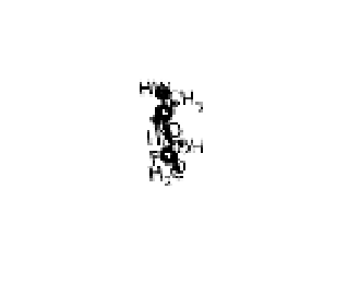 COc1cc(F)cc([C@@H](CO)NC(=O)n2ccc3cc(-c4c[nH]nc4C)c(F)cc32)c1